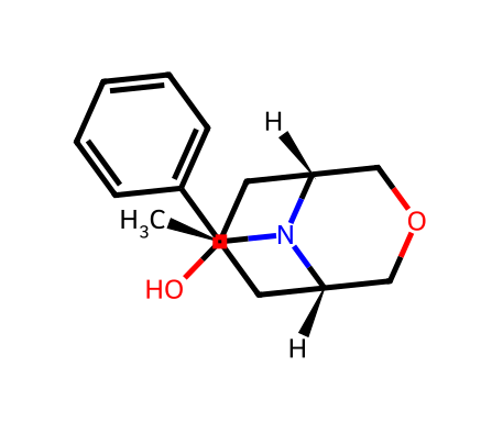 C[C@]1(O)C[C@H]2COC[C@@H](C1)N2Cc1ccccc1